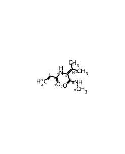 C=CC(=O)NC(C(=O)NC)=C(C)C